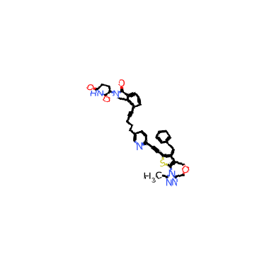 Cc1nnc2n1-c1sc(C#Cc3ccc(CCCC#Cc4cccc5c4CN(C4CCC(=O)NC4=O)C5=O)cn3)c(Cc3ccccc3)c1COC2